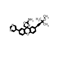 COC(C)(C)C#Cc1ccc2c(c1)C1(COC(N)=N1)c1cc(-c3cncnc3)ccc1O2